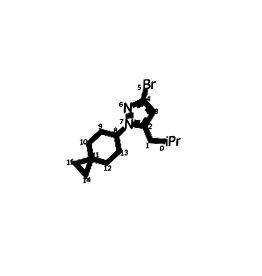 CC(C)Cc1cc(Br)nn1C1CCC2(CC1)CC2